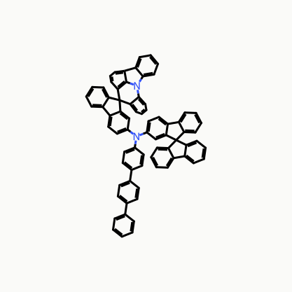 c1ccc(-c2ccc(-c3ccc(N(c4ccc5c(c4)C4(c6ccccc6-c6ccccc64)c4ccccc4-5)c4ccc5c(c4)C4(c6ccccc6-5)c5ccccc5-n5c6ccccc6c6cccc4c65)cc3)cc2)cc1